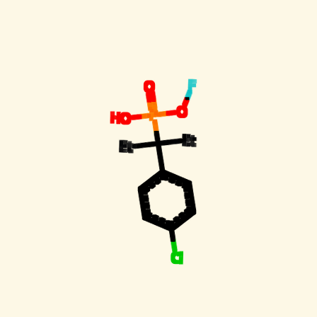 CCC(CC)(c1ccc(Cl)cc1)P(=O)(O)OF